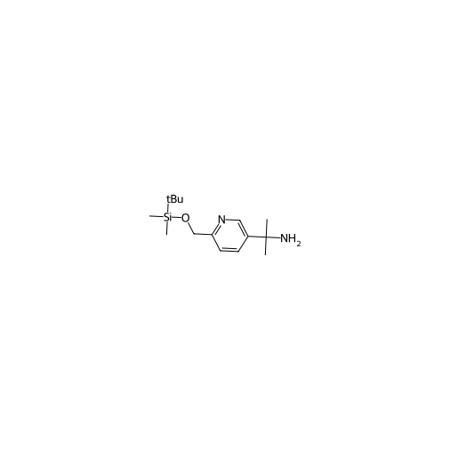 CC(C)(N)c1ccc(CO[Si](C)(C)C(C)(C)C)nc1